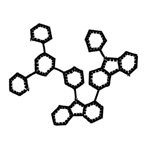 c1ccc(-n2c3ccc(-c4cccc5c6ccccc6n(-c6cccc(-c7cc(-c8ccccn8)cc(-c8ccccn8)c7)c6)c45)cc3c3ncccc32)cc1